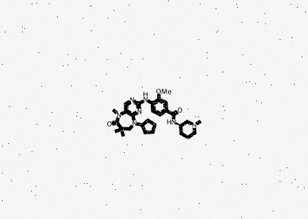 COc1cc(C(=O)N[C@@H]2CCCN(C)C2)ccc1Nc1ncc2c(n1)N(C1CCCC1)CC(C)(C)C(=O)N2C